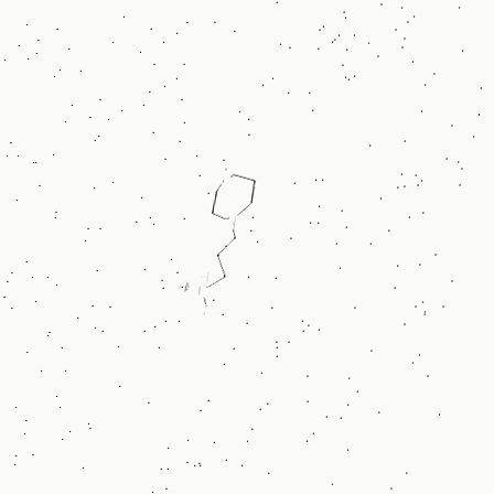 C[PH](=O)CCCN1CCNCC1